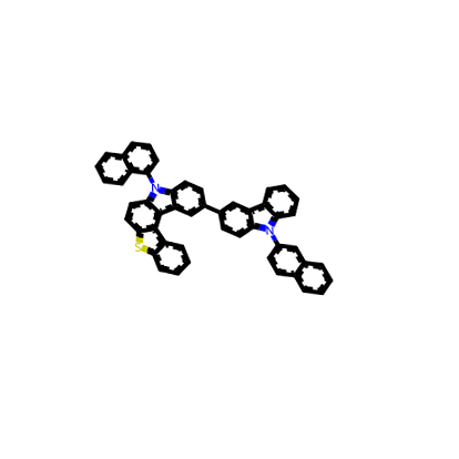 c1ccc2cc(-n3c4ccccc4c4cc(-c5ccc6c(c5)c5c7c(ccc5n6-c5cccc6ccccc56)sc5ccccc57)ccc43)ccc2c1